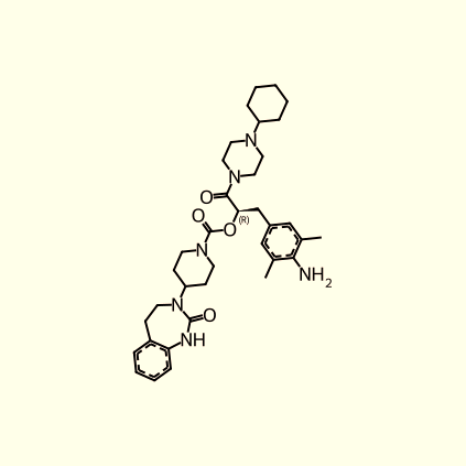 Cc1cc(C[C@@H](OC(=O)N2CCC(N3CCc4ccccc4NC3=O)CC2)C(=O)N2CCN(C3CCCCC3)CC2)cc(C)c1N